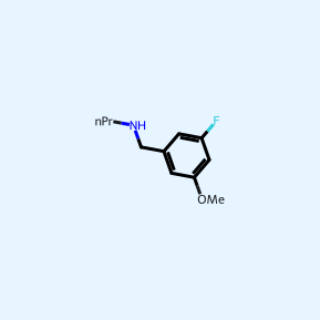 CCCNCc1cc(F)cc(OC)c1